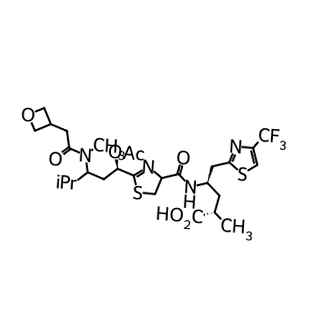 CC(=O)O[C@H](CC(C(C)C)N(C)C(=O)CC1COC1)C1=NC(C(=O)N[C@@H](Cc2nc(C(F)(F)F)cs2)C[C@H](C)C(=O)O)CS1